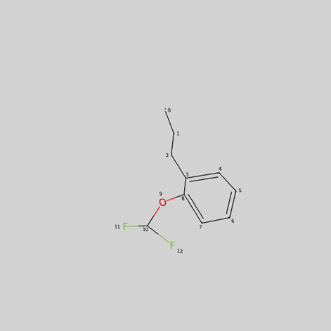 [CH2]CCc1ccccc1OC(F)F